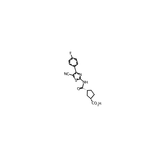 N#Cc1sc(NC(=O)[C@@H]2CC[C@@H](C(=O)O)C2)nc1-c1ccc(F)cc1